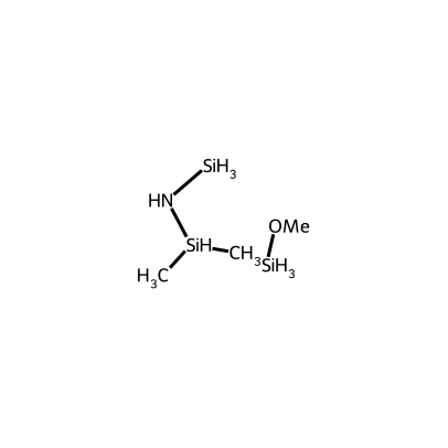 CO[SiH3].C[SiH](C)N[SiH3]